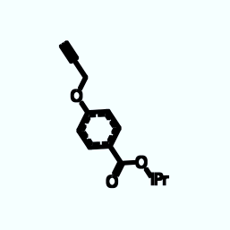 C#CCOc1ccc(C(=O)OC(C)C)cc1